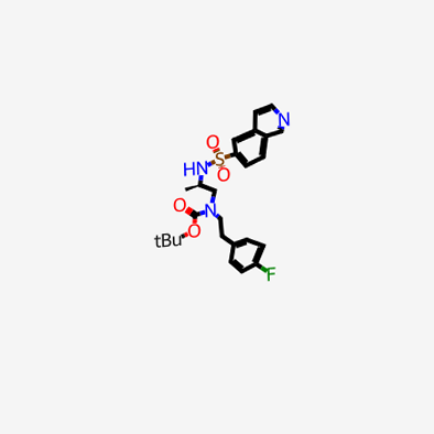 C[C@H](CN(CCc1ccc(F)cc1)C(=O)OC(C)(C)C)NS(=O)(=O)c1ccc2cnccc2c1